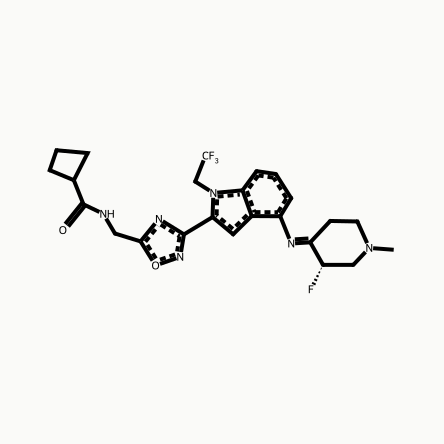 CN1CC/C(=N\c2cccc3c2cc(-c2noc(CNC(=O)C4CCC4)n2)n3CC(F)(F)F)[C@@H](F)C1